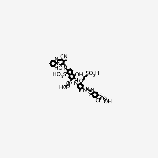 Cc1cc(N=Nc2c(SOOO)cc3c(S(=O)(=O)O)c(N=Nc4c(C)c(C#N)c5nc6ccccc6n5c4O)ccc3c2O)c(OCCCS(=O)(=O)O)cc1N=Nc1nc2cc(SOOO)c(Cl)cc2s1